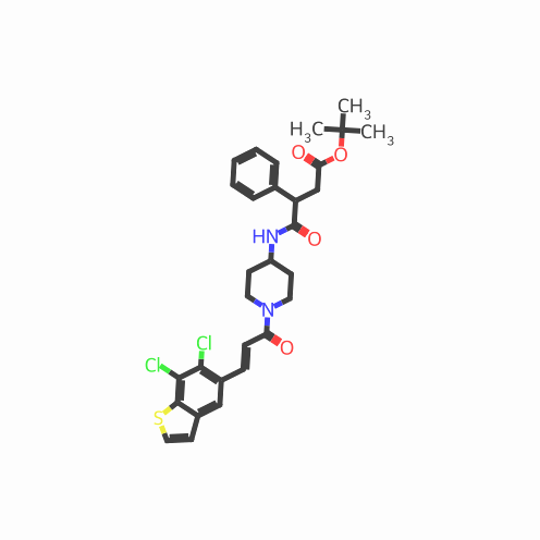 CC(C)(C)OC(=O)CC(C(=O)NC1CCN(C(=O)/C=C/c2cc3ccsc3c(Cl)c2Cl)CC1)c1ccccc1